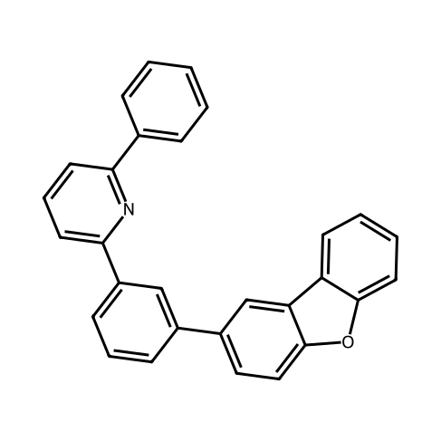 c1ccc(-c2cccc(-c3cccc(-c4ccc5oc6ccccc6c5c4)c3)n2)cc1